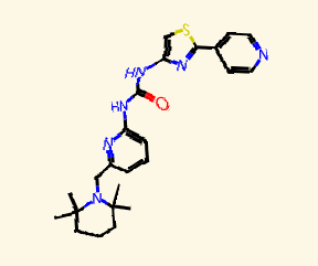 CC1(C)CCCC(C)(C)N1Cc1cccc(NC(=O)Nc2csc(-c3ccncc3)n2)n1